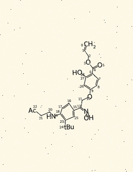 C=CCOC(=O)c1ccc(OCC(=NO)c2ccc(NCCC(C)=O)c(C(C)(C)C)c2)cc1O